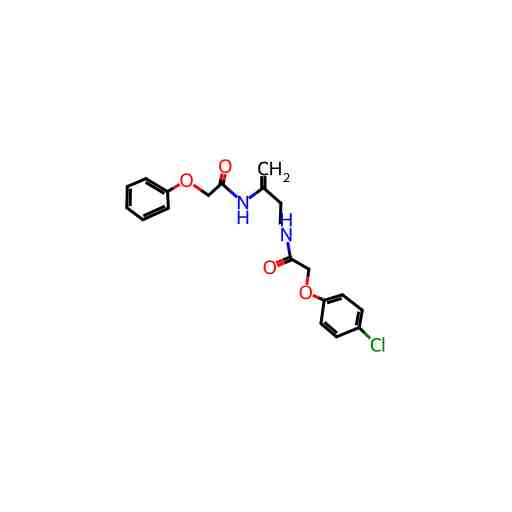 C=C(CCNC(=O)COc1ccc(Cl)cc1)NC(=O)COc1ccccc1